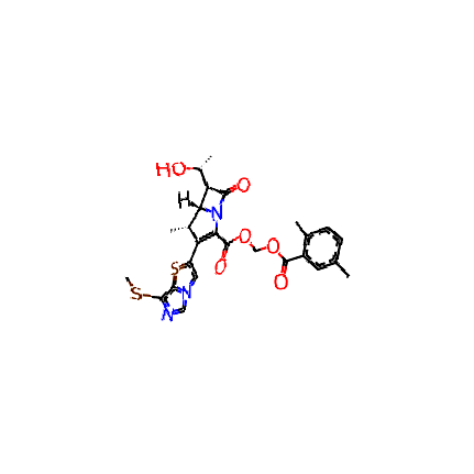 CSc1ncn2cc(C3=C(C(=O)OCOC(=O)c4cc(C)ccc4C)N4C(=O)[C@H]([C@@H](C)O)[C@H]4[C@H]3C)sc12